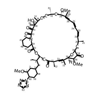 COC1CC(C[C@@H](C)[C@@H]2CC(=O)[C@H](C)/C=C(\C)[C@H]3OC(C[C@H](C)/C=C/C=C/C=C(\C)[C@@H](OC)C[C@@H](C)CCC(C)C(C)(O)C(=O)C(=O)N4CCCCC4C(=O)O2)C(=O)C3OC)CCC1n1ncnn1